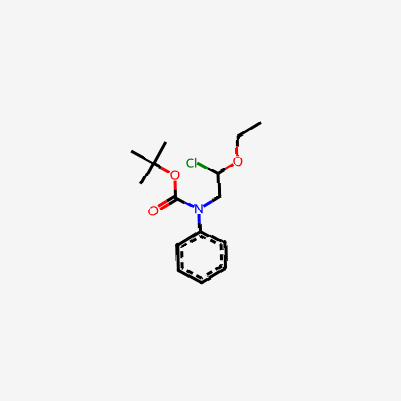 CCOC(Cl)CN(C(=O)OC(C)(C)C)c1ccccc1